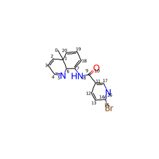 CC12C=CC=NC1C(NC(=O)c1ccc(Br)nc1)=CC=C2